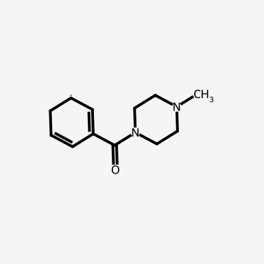 CN1CCN(C(=O)C2=C[CH]CC=C2)CC1